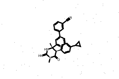 CN1C(=N)N[C@](C)(c2cc(-c3cccc(C#N)c3)ccn2)[C@@H](c2ccc(C3CC3)cc2)C1=O